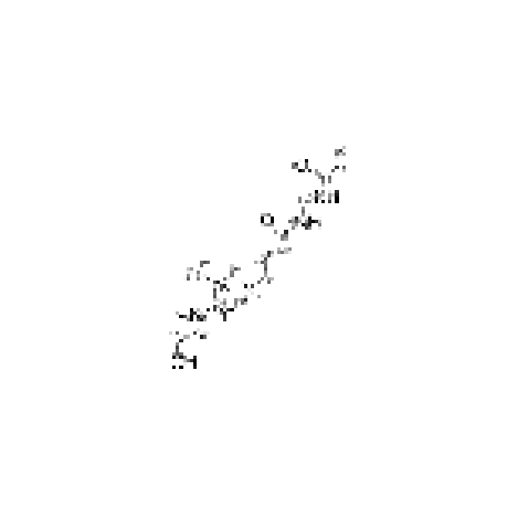 C=CC(=O)NCNC(=O)/C=C/CC(C)CC(C(=O)NCCO)C(C)C